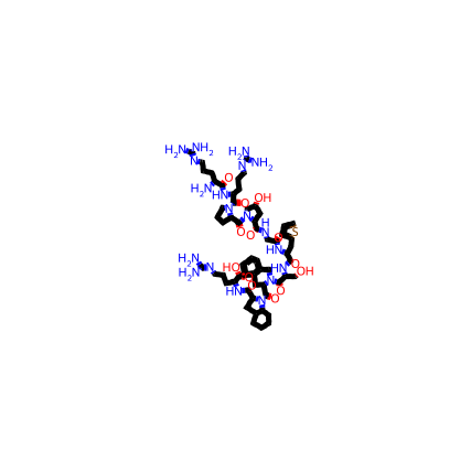 NC(N)=NCCCC(N)C(=O)NC(CCCN=C(N)N)C(=O)N1CCCC1C(=O)N1CC(O)CC1C(=O)NCC(=O)NC(Cc1cccs1)C(=O)NC(CO)C(=O)N1Cc2ccccc2CC1C(=O)N1C(C(=O)NC(CCCN=C(N)N)C(=O)O)CC2CCCCC21